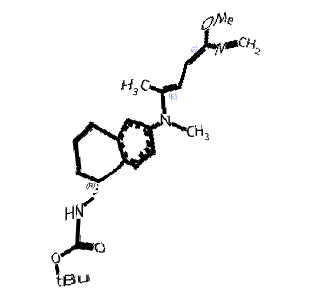 C=N/C(=C\C=C(/C)N(C)c1ccc2c(c1)CCC[C@H]2CNC(=O)OC(C)(C)C)OC